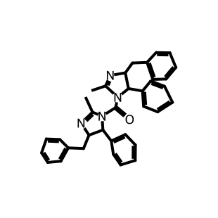 CC1=NC(Cc2ccccc2)C(c2ccccc2)N1C(=O)N1C(C)=NC(Cc2ccccc2)C1c1ccccc1